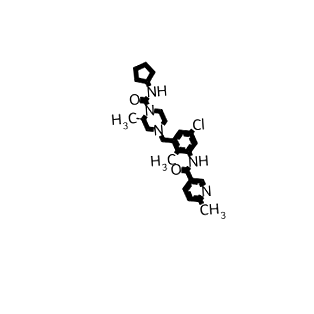 Cc1ccc(C(=O)Nc2cc(Cl)cc(CN3CCN(C(=O)NC4CCCC4)[C@@H](C)C3)c2C)cn1